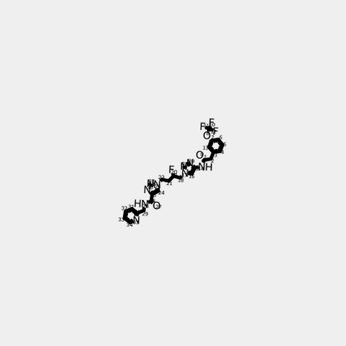 O=C(Cc1cccc(OC(F)(F)F)c1)Nc1cn(CC(F)CCn2cc(C(=O)NCc3ccccn3)nn2)nn1